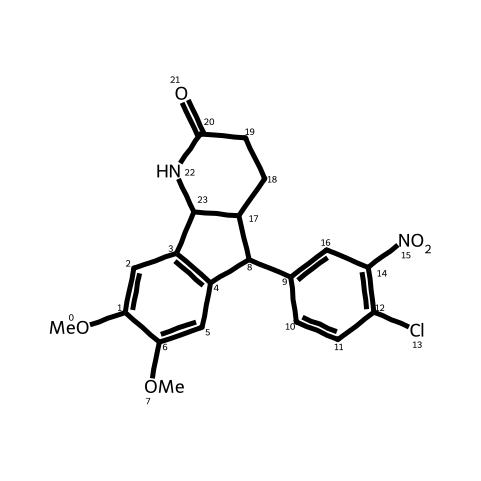 COc1cc2c(cc1OC)C(c1ccc(Cl)c([N+](=O)[O-])c1)C1CCC(=O)NC21